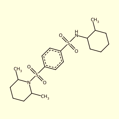 CC1CCCCC1NS(=O)(=O)c1ccc(S(=O)(=O)N2C(C)CCCC2C)cc1